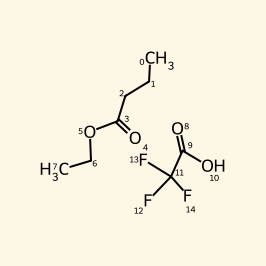 CCCC(=O)OCC.O=C(O)C(F)(F)F